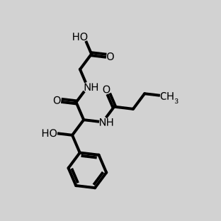 CCCC(=O)NC(C(=O)NCC(=O)O)C(O)c1ccccc1